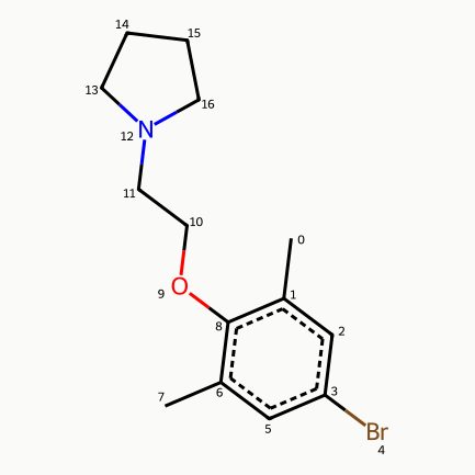 Cc1cc(Br)cc(C)c1OCCN1CCCC1